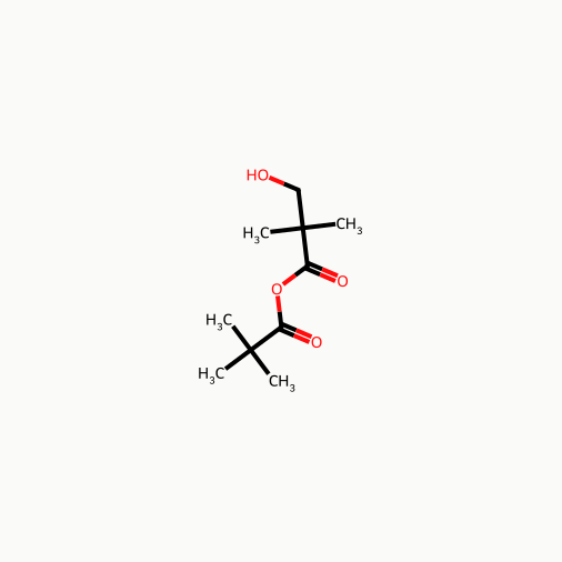 CC(C)(C)C(=O)OC(=O)C(C)(C)CO